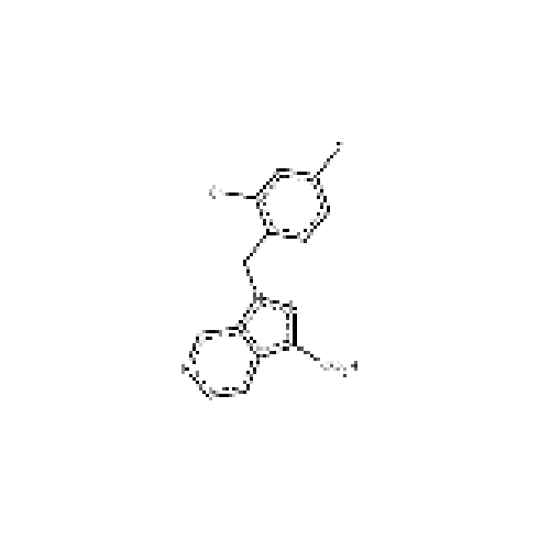 O=C(O)c1nn(Cc2ccc(Cl)cc2Cl)c2cnccc12